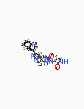 O=C1NCCC1NC(=O)N1CC2(CCn3nc(-c4cnc5ccccc5c4)cc32)C1